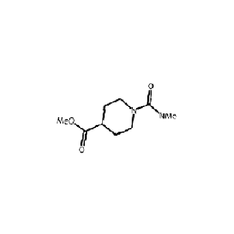 CNC(=O)N1CCC(C(=O)OC)CC1